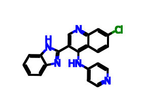 Clc1ccc2c(Nc3ccncc3)c(-c3nc4ccccc4[nH]3)cnc2c1